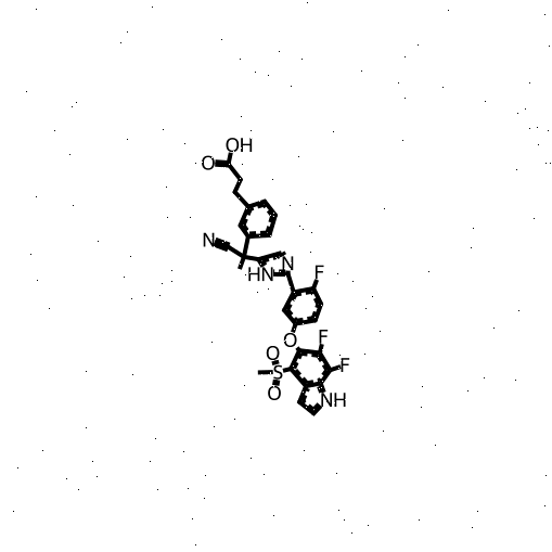 CC(C#N)(c1cccc(CCC(=O)O)c1)c1cnc(-c2cc(Oc3c(F)c(F)c4[nH]ccc4c3S(C)(=O)=O)ccc2F)[nH]1